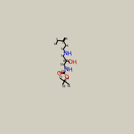 C=C(CC)CCNC[C@@H](O)CNC(=O)OC(C)(C)C